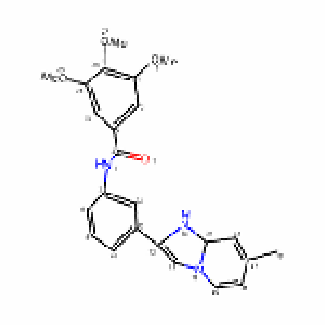 COc1cc(C(=O)Nc2cccc(C3=CN4C=CC(C)=CC4N3)c2)cc(OC)c1OC